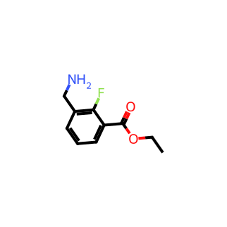 CCOC(=O)c1cccc(CN)c1F